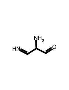 N=CC(N)C=O